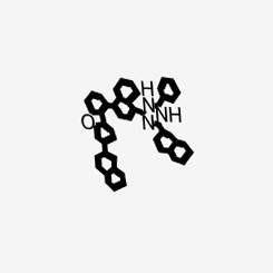 c1ccc(C2NC(c3ccc(-c4cccc5oc6cc(-c7ccc8ccccc8c7)ccc6c45)c4ccccc34)=NC(c3ccc4ccccc4c3)N2)cc1